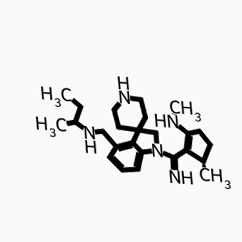 CCC(C)NCc1cccc2c1C1(CCNCC1)CN2C(=N)C1=C(NC)CC[C@H]1C